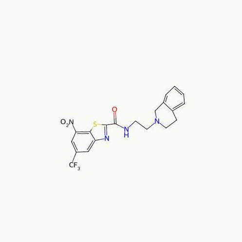 O=C(NCCN1CCc2ccccc2C1)c1nc2cc(C(F)(F)F)cc([N+](=O)[O-])c2s1